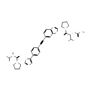 COC(=O)N[C@H](C(=O)N1CCC[C@H]1c1nc2ccc(C#Cc3ccc(-c4cnc([C@@H]5CCCN5C(=O)N(C)C(C)C)[nH]4)cc3)cc2[nH]1)C(C)C